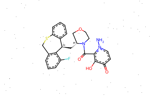 Nn1ccc(=O)c(O)c1C(=O)N1CCOC[C@H]1C[C@@H]1c2ccccc2SCc2cccc(F)c21